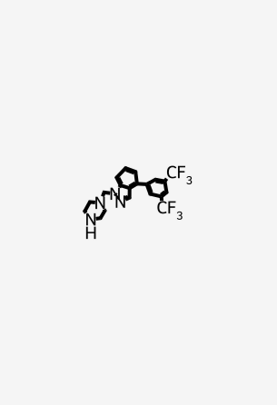 FC(F)(F)c1cc(-c2cccc3c2cnn3CN2CCNCC2)cc(C(F)(F)F)c1